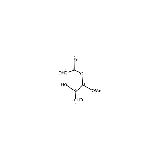 CCC(C=O)OC(OC)C(O)C=O